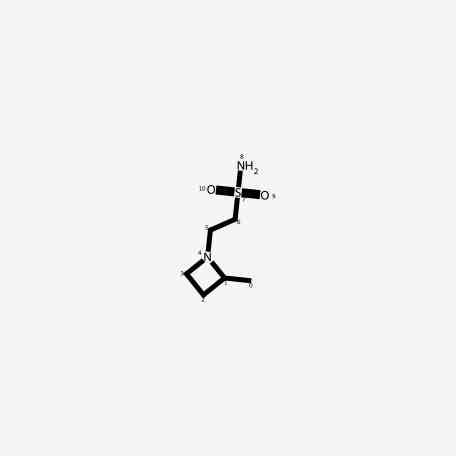 CC1CCN1CCS(N)(=O)=O